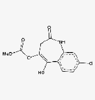 COC(=O)OC1=C(O)c2ccc(Cl)cc2NC(=O)C1